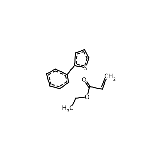 C=CC(=O)OCC.c1ccc(-c2cccs2)cc1